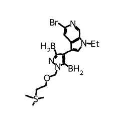 Bc1nn(COCCS(C)(C)C)c(B)c1-c1cn(CC)c2cnc(Br)cc12